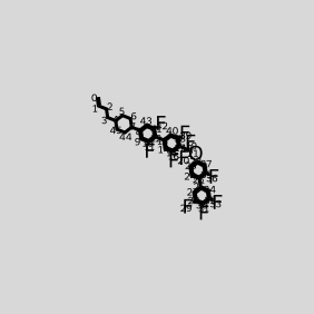 C=CCCC1CCC(c2cc(F)c(-c3cc(F)c(C(F)(F)Oc4ccc(-c5cc(F)c(F)c(F)c5)c(F)c4)c(F)c3)c(F)c2)CC1